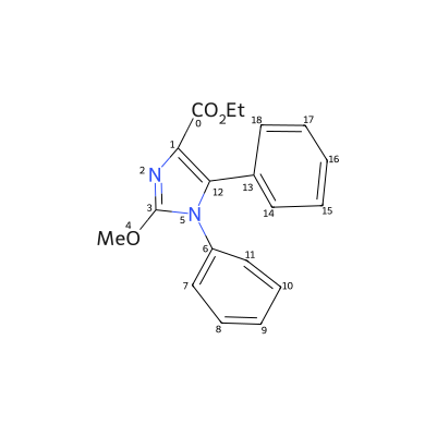 CCOC(=O)c1nc(OC)n(-c2ccccc2)c1-c1ccccc1